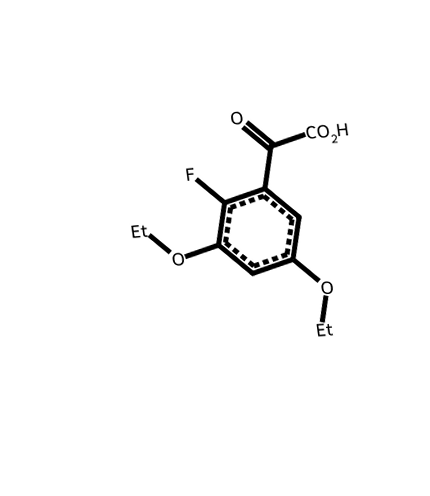 CCOc1cc(OCC)c(F)c(C(=O)C(=O)O)c1